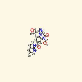 COCn1c(=O)c2cnc(C3CCOC3)n2c2ccc(C(=O)N3CCc4cc(C)cnc43)cc21